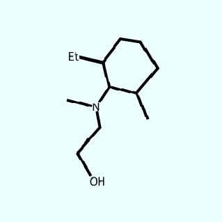 CCC1CCCC(C)C1N(C)CCO